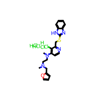 CN(CCN(C)c1ccnc(CSc2nc3ccccc3[nH]2)c1Cl)Cc1ccco1.Cl.Cl.Cl